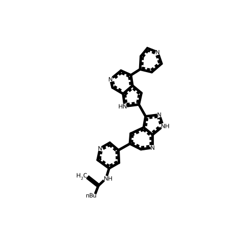 C=C(CCCC)Nc1cncc(-c2cnc3[nH]nc(-c4cc5c(-c6ccncc6)cncc5[nH]4)c3c2)c1